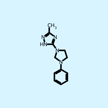 Cc1n[nH]c(N2CCN(c3ccccc3)C2)n1